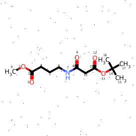 COC(=O)CCCNC(=O)CC(=O)OC(C)(C)C